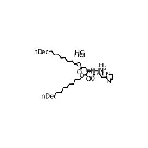 CCCCCCCCCCCCCCCCCCOC(=O)C[C@@H](NC(=O)[C@@H](N)Cc1ncc[nH]1)C(=O)OCCCCCCCCCCCCCCCCCC.Cl.Cl